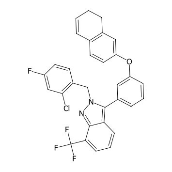 Fc1ccc(Cn2nc3c(C(F)(F)F)cccc3c2-c2cccc(Oc3ccc4c(c3)CCC=C4)c2)c(Cl)c1